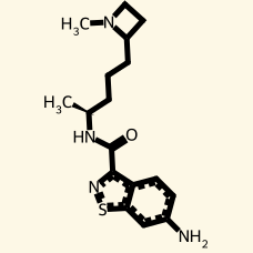 C[C@@H](CCCC1CCN1C)NC(=O)c1nsc2cc(N)ccc12